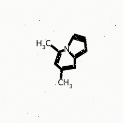 Cc1cc(C)n2c#ccc2c1